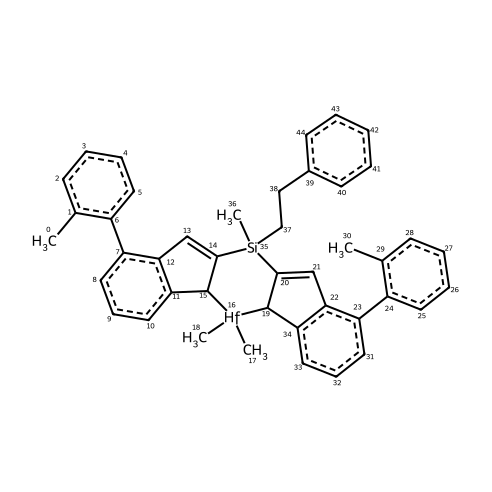 Cc1ccccc1-c1cccc2c1C=C1[CH]2[Hf]([CH3])([CH3])[CH]2C(=Cc3c(-c4ccccc4C)cccc32)[Si]1(C)CCc1ccccc1